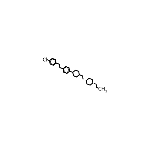 CCC[C@H]1CC[C@H](CCC2CCC(c3ccc(CCc4ccc(Cl)cc4)cc3)CC2)CC1